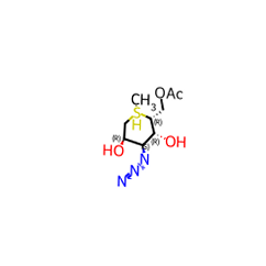 CC(=O)OC[C@@H]1[C@H](O)[C@@H](N=[N+]=[N-])[C@@H](O)C[SH]1C